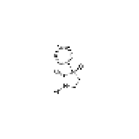 CCN1CC[N+]([O-])(c2ccncc2)C1=O